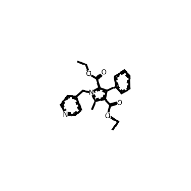 CCOC(=O)c1c(-c2ccccc2)c(C(=O)OCC)n(Cc2ccncc2)c1C